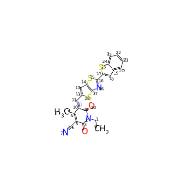 CCN1C(=O)C(C#N)=C(C)/C(=C/c2cc3sc(-c4cc5ccccc5s4)nc3s2)C1=O